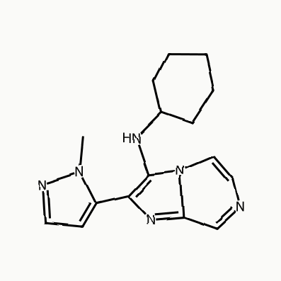 Cn1nccc1-c1nc2cnccn2c1NC1CCCCC1